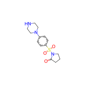 O=C1CCCN1S(=O)(=O)c1ccc(N2CCNCC2)cc1